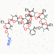 CCC1O[C@@H](OCCN=[N+]=[N-])C(C)[C@@H](C)[C@@H]1O[C@@H]1OC(CC)[C@@H](O[C@@H]2OC3COC(c4ccccc4)O[C@H]3[C@H](O[C@H]3O[C@@H](CC)[C@@H](C)C(C)C3O[C@H]3O[C@@H](CC)[C@@H](C)C(C)C3O[C@H]3O[C@@H](CC)[C@@H](C)C(C)C3OC(C)=O)C2OC(C)=O)[C@@H](C)C1C